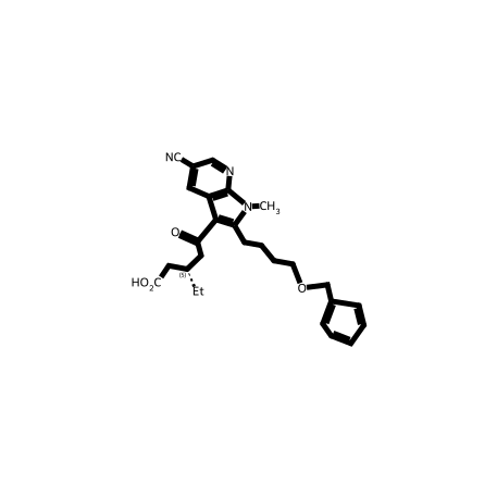 CC[C@H](CC(=O)O)CC(=O)c1c(CCCCOCc2ccccc2)n(C)c2ncc(C#N)cc12